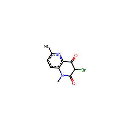 CN1C(=O)C(Br)C(=O)c2nc(C#N)ccc21